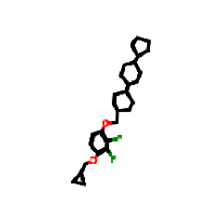 Fc1c(OCC2CC2)ccc(OCC2CCC(C3CCC(C4CCCC4)CC3)CC2)c1F